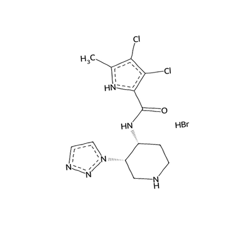 Br.Cc1[nH]c(C(=O)N[C@@H]2CCNC[C@@H]2n2ccnn2)c(Cl)c1Cl